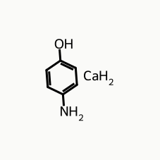 Nc1ccc(O)cc1.[CaH2]